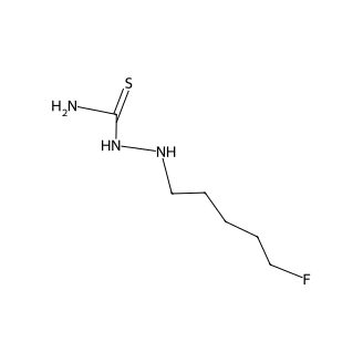 NC(=S)NNCCCCCF